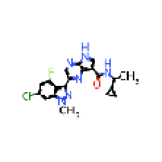 C[C@H](NC(=O)c1c[nH]c2ncc(-c3nn(C)c4cc(Cl)cc(F)c34)nc12)C1CC1